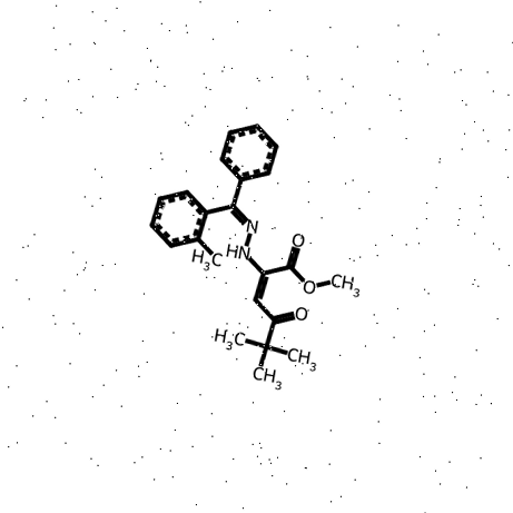 COC(=O)C(=CC(=O)C(C)(C)C)NN=C(c1ccccc1)c1ccccc1C